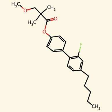 CCCCCc1ccc(-c2ccc(OC(=O)C(C)(C)COC)cc2)c(F)c1